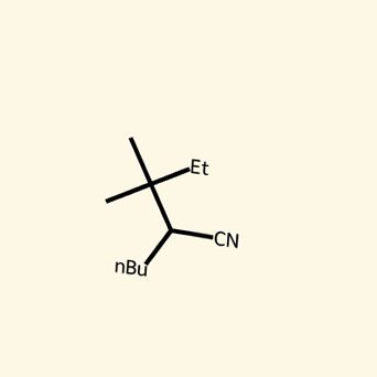 CCCCC(C#N)C(C)(C)CC